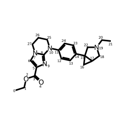 CCOC(=O)c1cn2c(n1)N(c1ccc(C34CC3CN(CC)C4)cc1)CCC2